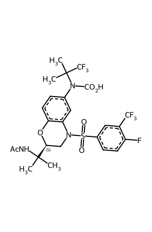 CC(=O)NC(C)(C)[C@@H]1CN(S(=O)(=O)c2ccc(F)c(C(F)(F)F)c2)c2cc(N(C(=O)O)C(C)(C)C(F)(F)F)ccc2O1